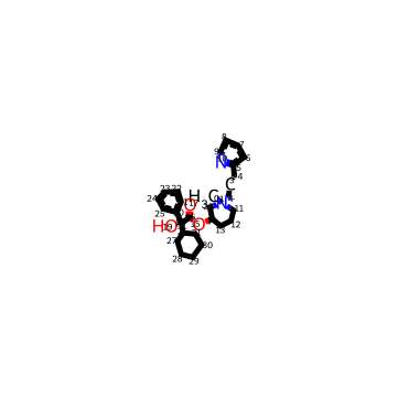 C[N+]1(CCCc2ccccn2)CCCC(OC(=O)[C@](O)(c2ccccc2)C2CCCCC2)C1